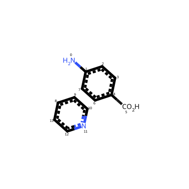 Nc1ccc(C(=O)O)cc1.c1ccncc1